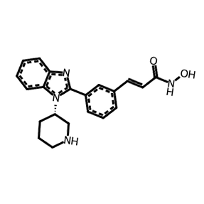 O=C(/C=C/c1cccc(-c2nc3ccccc3n2[C@H]2CCCNC2)c1)NO